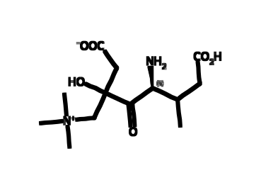 CC(CC(=O)O)[C@H](N)C(=O)C(O)(CC(=O)[O-])C[N+](C)(C)C